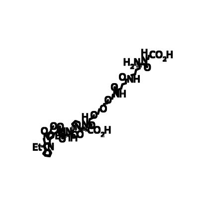 CCc1c2c(nc3ccccc13)-c1cc3c(c(=O)n1C2)COC(=O)C3(CC)OC(=O)[C@@H](NC(=O)[C@@H]1CCCN1C(=O)[C@H](CC(=O)O)NC(=O)CCOCCOCCOCCNC(=O)CCCC(=O)NCCCC[C@H](N)C(=O)NCCC(=O)O)C(C)C